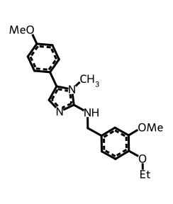 CCOc1ccc(CNc2ncc(-c3ccc(OC)cc3)n2C)cc1OC